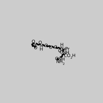 CC(C)[C@H](NC(=O)CCOCCOCCOCCNC(=O)CCN1C(=O)C=CC1=O)C(=O)N[C@@H](CCCNC(N)=O)C(=O)O